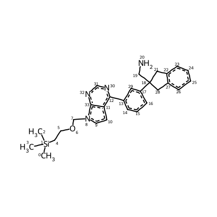 C[Si](C)(C)CCOCn1ccc2c(-c3cccc(C4(CN)Cc5ccccc5C4)c3)ncnc21